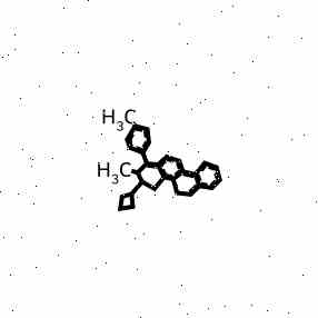 Cc1ccc(C2=c3ccc4c(c3CC(C3CCC3)C2C)CC=c2ccccc2=4)cc1